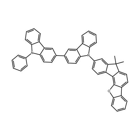 CC1(C)c2cc(-n3c4ccccc4c4cc(-c5ccc6c(c5)c5ccccc5n6-c5ccccc5)ccc43)ccc2-c2c1ccc1c2oc2ccccc21